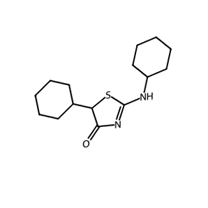 O=C1N=C(NC2CCCCC2)SC1C1CCCCC1